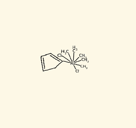 [CH3][Ru]([CH3])([CH3])([CH3])([CH3])([Cl])([Cl])[C]1=CC=CC1